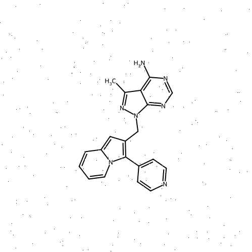 Cc1nn(Cc2cc3ccccn3c2-c2ccncc2)c2ncnc(N)c12